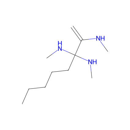 C=C(NC)C(CCCCC)(NC)NC